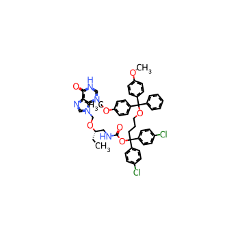 CC[C@@H](CNC(=O)OC(CCCOC(c1ccccc1)(c1ccc(OC)cc1)c1ccc(OC)cc1)(c1ccc(Cl)cc1)c1ccc(Cl)cc1)OCn1cnc2c(=O)[nH]cnc21